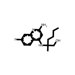 CCCCC(C)(CO)Nc1cc(N)nc2cc(F)ccc12